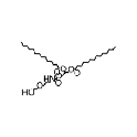 CCCCCCCCCCCCCC(=O)OCC(COC(=O)NCCCOCCO)OC(=O)CCCCCCCCCCCCC